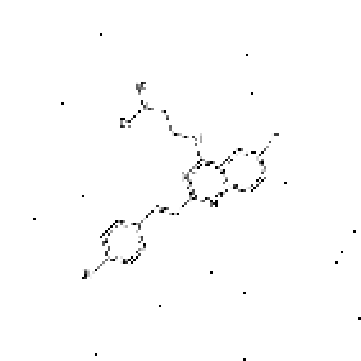 CCN(CC)CCNc1nc(C=Cc2ccc(C(C)C)cc2)nc2ccc(F)cc12